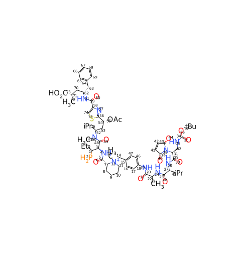 CC[C@H](P)[C@H](NC(=O)[C@H]1CCCC[N+]1(C)Cc1ccc(NC(=O)[C@H](C)NC(=O)[C@@H](NC(=O)[C@H](CNC(=O)OC(C)(C)C)N2C(=O)C=CC2=O)C(C)C)cc1)C(=O)N(C)[C@H](C[C@@H](OC(C)=O)c1nc(C(=O)N[C@@H](Cc2ccccc2)C[C@H](C)C(=O)O)cs1)C(C)C